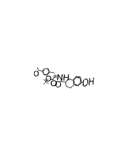 CC(=O)c1ccc(C[C@H](NC(=O)C2CCc3cc(O)ccc3C2)C(=O)OC(C)(C)C)cc1